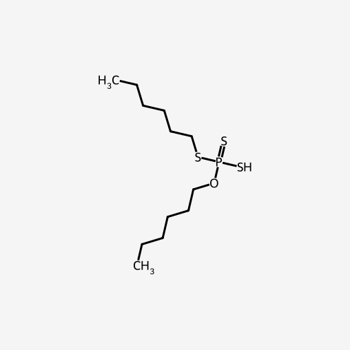 CCCCCCOP(=S)(S)SCCCCCC